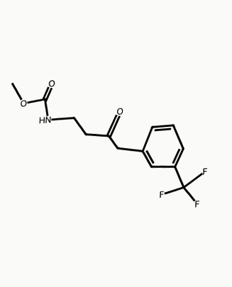 COC(=O)NCCC(=O)Cc1cccc(C(F)(F)F)c1